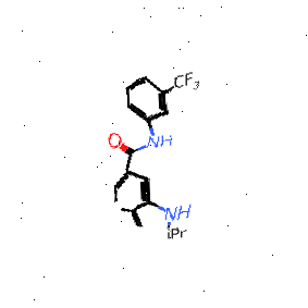 C=C(C)/C(=C\C(=C/C)C(=O)Nc1cccc(C(F)(F)F)c1)NC(C)C